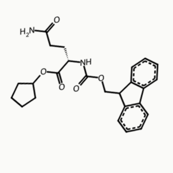 NC(=O)CC[C@H](NC(=O)OCC1c2ccccc2-c2ccccc21)C(=O)OC1CCCC1